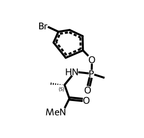 CNC(=O)[C@H](C)NP(C)(=O)Oc1ccc(Br)cc1